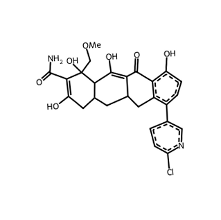 COCC1(O)C(C(N)=O)=C(O)CC2CC3Cc4c(-c5ccc(Cl)nc5)ccc(O)c4C(=O)C3=C(O)C21